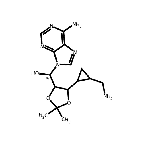 CC1(C)OC(C2CC2CN)C([C@@H](O)n2cnc3c(N)ncnc32)O1